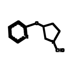 O=CN1CCC(Oc2ccccn2)C1